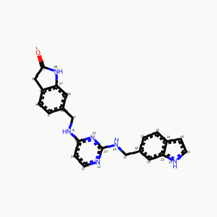 O=C1Cc2ccc(CNc3ccnc(NCc4ccc5cc[nH]c5c4)n3)cc2N1